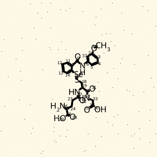 COc1cccc(NC(=O)c2ccccc2[Se]SCC(NC(=O)CCC(N)C(=O)O)C(=O)NCC(=O)O)c1